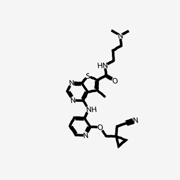 Cc1c(C(=O)NCCCN(C)C)sc2ncnc(Nc3cccnc3OCC3(CC#N)CC3)c12